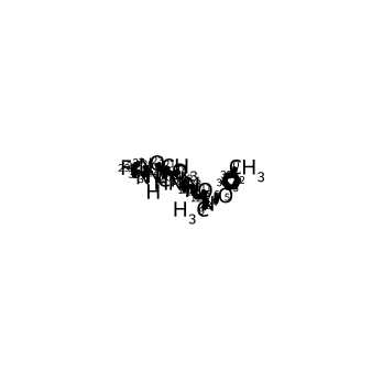 Cc1ccc(OCCN(C)C(=O)Cn2cc(NC(=O)C(C)(C)C(=O)Nc3ncc(F)cn3)cn2)cc1